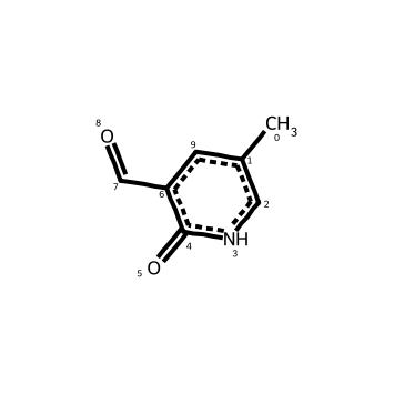 Cc1c[nH]c(=O)c(C=O)c1